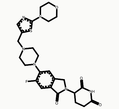 O=C1CCC(N2Cc3cc(N4CCN(Cc5cnc(N6CCOCC6)s5)CC4)c(F)cc3C2=O)C(=O)N1